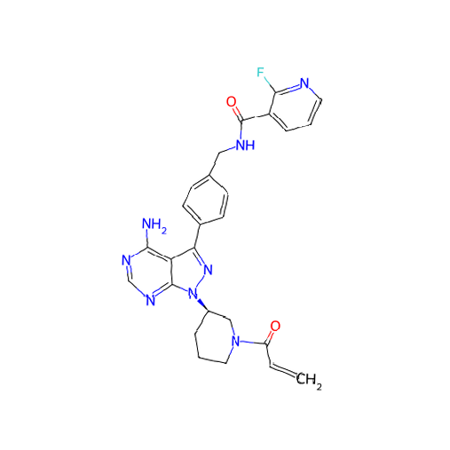 C=CC(=O)N1CCC[C@@H](n2nc(-c3ccc(CNC(=O)c4cccnc4F)cc3)c3c(N)ncnc32)C1